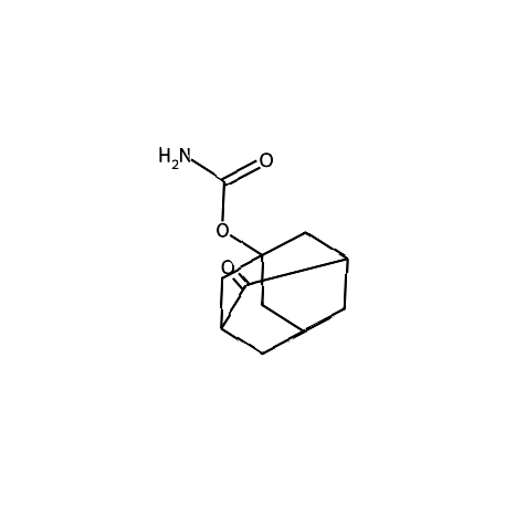 NC(=O)OC12CC3CC(C1)C(=O)C(C3)C2